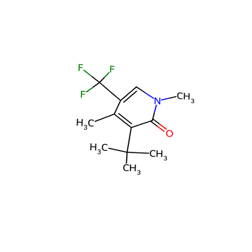 Cc1c(C(F)(F)F)cn(C)c(=O)c1C(C)(C)C